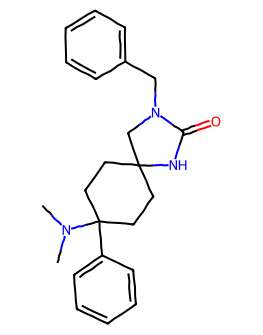 CN(C)C1(c2ccccc2)CCC2(CC1)CN(Cc1ccccc1)C(=O)N2